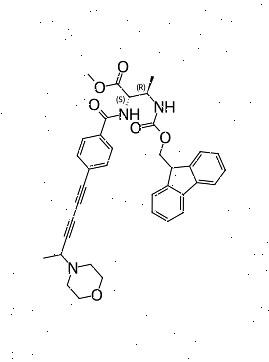 COC(=O)[C@@H](NC(=O)c1ccc(C#CC#CC(C)N2CCOCC2)cc1)[C@@H](C)NC(=O)OCC1c2ccccc2-c2ccccc21